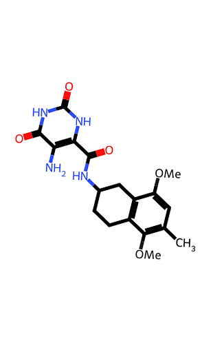 COc1cc(C)c(OC)c2c1CC(NC(=O)c1[nH]c(=O)[nH]c(=O)c1N)CC2